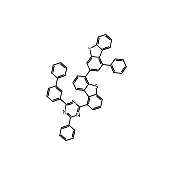 c1ccc(-c2cccc(-c3nc(-c4ccccc4)nc(-c4cccc5sc6c(-c7cc(-c8ccccc8)c8c(c7)sc7ccccc78)cccc6c45)n3)c2)cc1